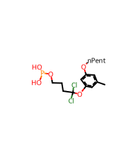 CCCCCOc1cc(C)cc(OC(Cl)(Cl)CCCOP(O)O)c1